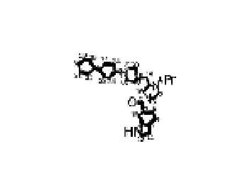 CC(C)N1CCN(C(=O)c2ccc3cc[nH]c3c2)CC1CN1CCN(c2ccc(-c3ccccc3)cc2)CC1